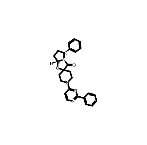 O=C1N2[C@@H](CC[C@H]2c2ccccc2)OC12CCN(c1ccnc(-c3ccccc3)n1)CC2